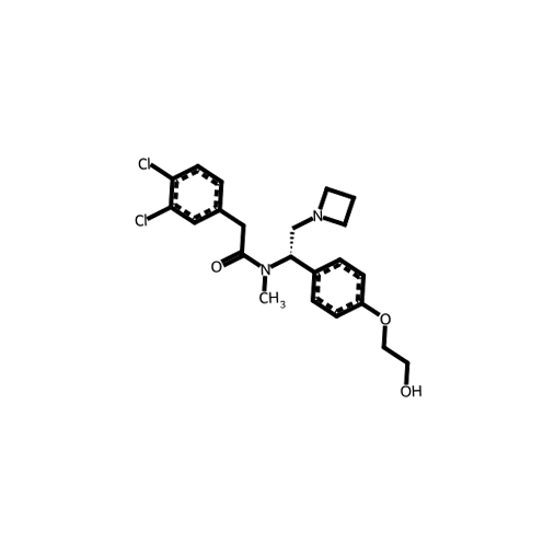 CN(C(=O)Cc1ccc(Cl)c(Cl)c1)[C@H](CN1CCC1)c1ccc(OCCO)cc1